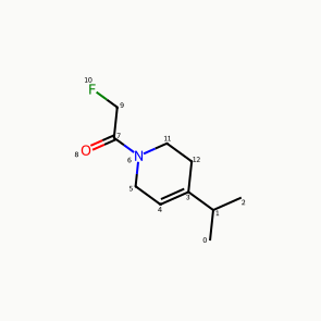 CC(C)C1=CCN(C(=O)CF)CC1